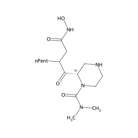 CCCCCC(CC(=O)NO)C(=O)[C@@H]1CNCCN1C(=O)N(C)C